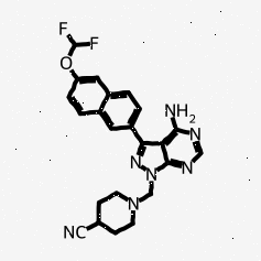 N#CC1CCN(Cn2nc(-c3ccc4cc(OC(F)F)ccc4c3)c3c(N)ncnc32)CC1